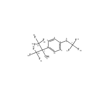 OC(c1ccc(SC(F)(F)F)cc1)(C(F)(F)F)C(F)(F)F